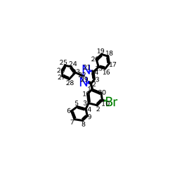 Brc1cc(-c2ccccc2)cc(-c2cc(-c3ccccc3)nc(-c3ccccc3)n2)c1